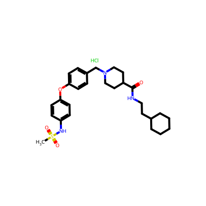 CS(=O)(=O)Nc1ccc(Oc2ccc(CN3CCC(C(=O)NCCC4CCCCC4)CC3)cc2)cc1.Cl